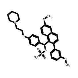 COc1cccc(-c2ccc3cc(OC)ccc3c2C(OS(C)(=O)=O)c2ccc(OCCN3CCCCC3)cc2)c1